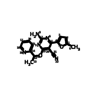 Cc1ccc(-c2nc(N)nc(OC(C)c3ccccn3)c2C#N)o1